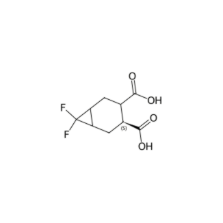 O=C(O)C1CC2C(C[C@@H]1C(=O)O)C2(F)F